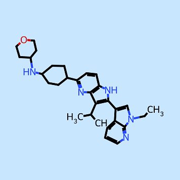 CCn1cc(-c2[nH]c3ccc(C4CCC(NC5CCOCC5)CC4)nc3c2C(C)C)c2cccnc21